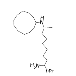 CCCC(N)CCCCCCC(C)NC1CCCCCCCCCC1